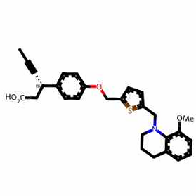 CC#C[C@@H](CC(=O)O)c1ccc(OCc2ccc(CN3CCCc4cccc(OC)c43)s2)cc1